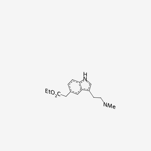 CCOC(=O)Cc1ccc2[nH]cc(CCNC)c2c1